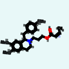 C/C=C\C(=O)OCCCN1CCc2cc(OC)c(OC)cc2C1Cc1ccc(OC)cc1